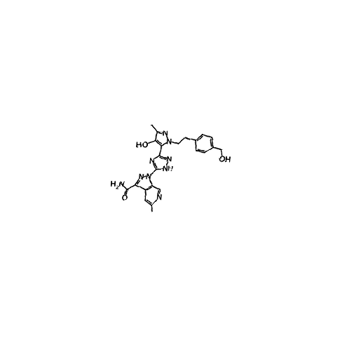 Cc1cc2c(C(N)=O)nn(-c3nc(-c4c(O)c(C)nn4CCc4ccc(CO)cc4)n[nH]3)c2cn1